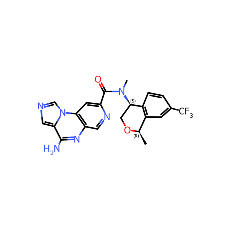 C[C@H]1OC[C@@H](N(C)C(=O)c2cc3c(cn2)nc(N)c2cncn23)c2ccc(C(F)(F)F)cc21